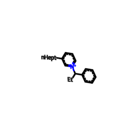 CCCCCCCc1ccc[n+](C(CC)c2ccccc2)c1